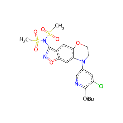 CC(C)COc1ncc(N2CCOc3cc4c(N(S(C)(=O)=O)S(C)(=O)=O)noc4cc32)cc1Cl